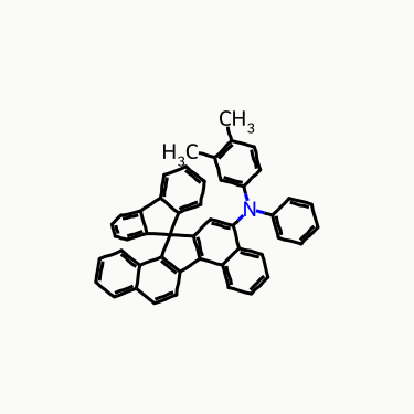 Cc1ccc(N(c2ccccc2)c2cc3c(c4ccccc24)-c2ccc4ccccc4c2C32c3ccccc3-c3ccccc32)cc1C